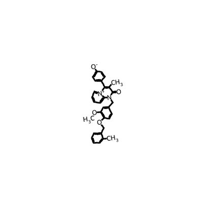 COc1cc(Cn2c(=O)c(C)c(-c3ccc([O-])cc3)[n+]3ccccc23)ccc1OCc1ccccc1C